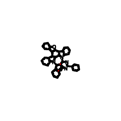 c1ccc(-c2cc(-n3c4ccccc4c4c5oc6ccccc6c5c5c6ccccc6n(-c6ccccc6)c5c43)nc(-c3ccccc3)n2)cc1